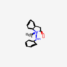 CN[N+]1(Nc2ccccc2)C(=O)Cc2ccccc21